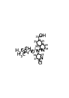 C[Si](C)(C)CCOCN(c1ccc(Cl)nc1)c1nccc2cc(CO)ccc12